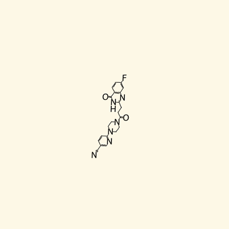 N#Cc1ccc(N2CCN(C(=O)CCc3nc4cc(F)ccc4c(=O)[nH]3)CC2)nc1